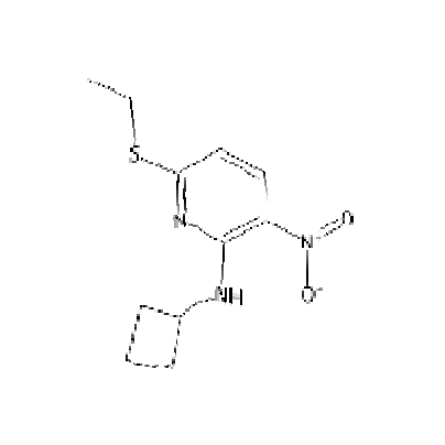 CCSc1ccc([N+](=O)[O-])c(NC2CCC2)n1